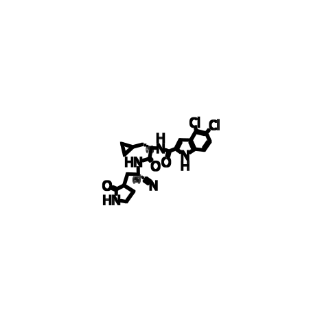 N#C[C@H](CC1CCNC1=O)NC(=O)[C@H](CC1CC1)NC(=O)c1cc2c(Cl)c(Cl)ccc2[nH]1